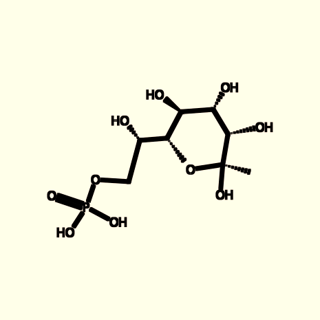 C[C@]1(O)O[C@H]([C@@H](O)COP(=O)(O)O)[C@@H](O)[C@H](O)[C@@H]1O